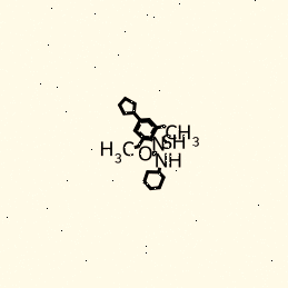 CCc1cc(C2CCCC2)cc(CC)c1N(S)C(=O)NC1CCCCC1